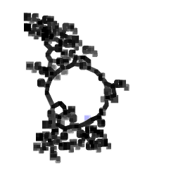 C=C1C[C@@H]2CCC(=O)/C=C/C(O[Si](C)(C)C(C)(C)C)[C@@H]3O[C@H]4CCC(CC(=O)C[C@H]5[C@H](CC6OC(CCC1O2)C[C@@H](C)C6=C)OC(CC(CO[Si](C)(C)C(C)(C)C)O[Si](C)(C)C(C)(C)C)[C@@H]5OC)O[C@@H]4[C@H](O)C3O[Si](C)(C)C(C)(C)C